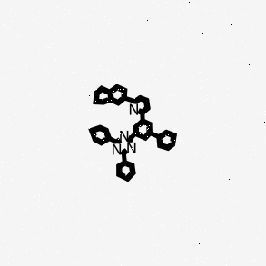 c1ccc(-c2cc(-c3cccc(-c4ccc5ccccc5c4)n3)cc(-c3nc(-c4ccccc4)nc(-c4ccccc4)n3)c2)cc1